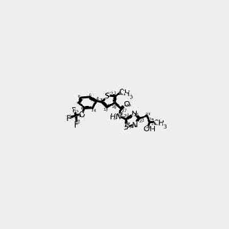 Cc1sc(-c2cccc(OC(F)(F)F)c2)cc1C(=O)Nc1nc(CC(C)O)ns1